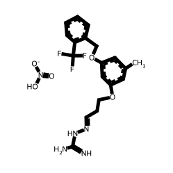 Cc1cc(OCCC=NNC(=N)N)cc(OCc2ccccc2C(F)(F)F)c1.O=[N+]([O-])O